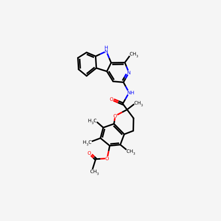 CC(=O)Oc1c(C)c(C)c2c(c1C)CCC(C)(C(=O)Nc1cc3c([nH]c4ccccc43)c(C)n1)O2